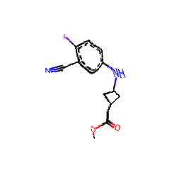 COC(=O)C1CC(Nc2ccc(I)c(C#N)c2)C1